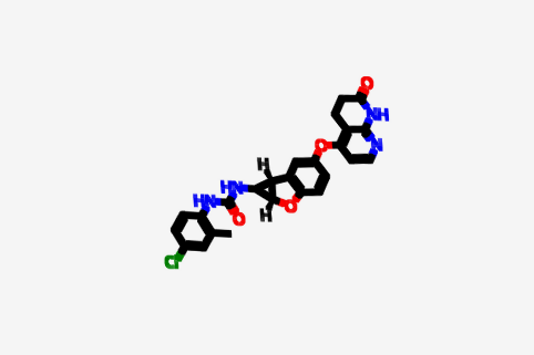 Cc1cc(Cl)ccc1NC(=O)NC1[C@H]2Oc3ccc(Oc4ccnc5c4CCC(=O)N5)cc3[C@@H]12